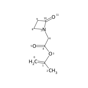 C=C(C)OC(=O)CN1CCC1=O